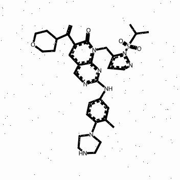 C=C(c1cc2cnc(Nc3ccc(N4CCNCC4)c(C)c3)nc2n(Cc2ccnn2S(=O)(=O)C(C)C)c1=O)C1CCOCC1